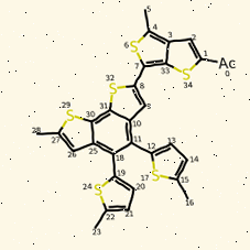 CC(=O)c1cc2c(C)sc(-c3cc4c(-c5ccc(C)s5)c(-c5ccc(C)s5)c5cc(C)sc5c4s3)c2s1